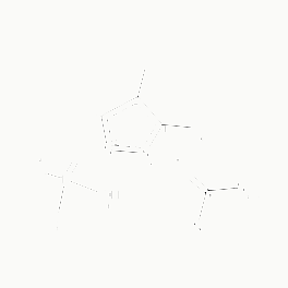 Cc1c[nH]nc1C.NC(N)=O.O=P(O)(O)O